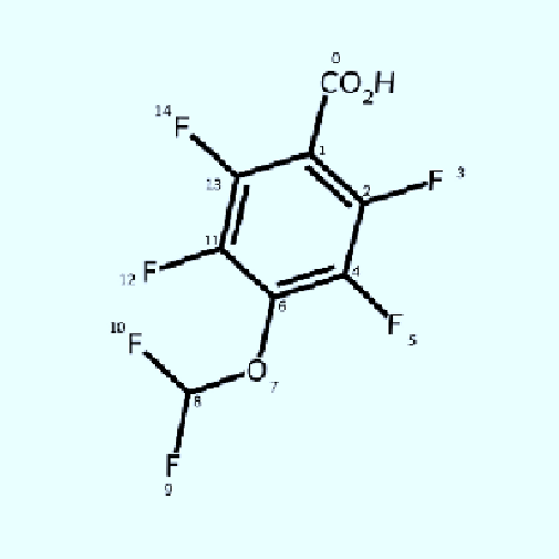 O=C(O)c1c(F)c(F)c(OC(F)F)c(F)c1F